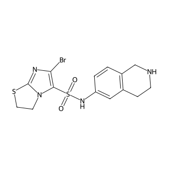 O=S(=O)(Nc1ccc2c(c1)CCNC2)c1c(Br)nc2n1CCS2